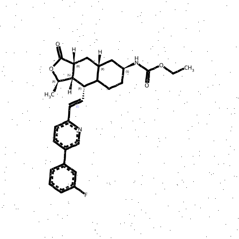 CCOC(=O)N[C@H]1CCC2[C@@H](C1)C[C@H]1C(=O)O[C@H](C)[C@H]1[C@H]2/C=C/c1ccc(-c2cccc(F)c2)cn1